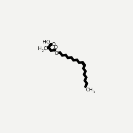 C=C(CC(=O)OCCCCCCCC/C=C\CCCCCCCC)C(=O)O